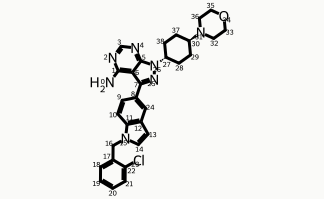 Nc1ncnc2c1c(-c1ccc3c(ccn3Cc3ccccc3Cl)c1)nn2[C@H]1CC[C@H](N2CCOCC2)CC1